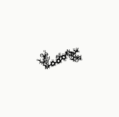 CCCN(Cc1ncc(-c2ccc(-c3ccc4c(c3)C(F)(F)c3cc(-c5cnc(CN(CC6(C)CC6)C(=O)C(NC(=O)OC)C(C)C)[nH]5)ccc3-4)cc2)[nH]1)C(=O)CNC(=O)OC